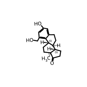 C[C@]12CC[C@@H]3c4c(CO)cc(O)cc4CC[C@H]3[C@@H]1CCC2=O